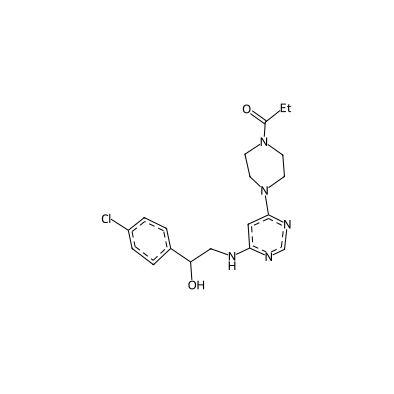 CCC(=O)N1CCN(c2cc(NCC(O)c3ccc(Cl)cc3)ncn2)CC1